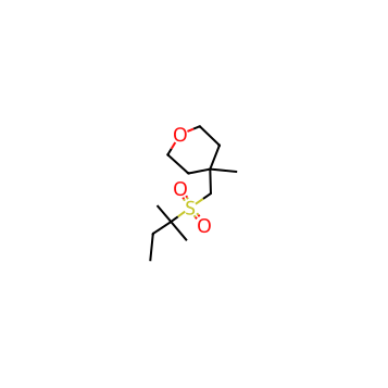 CCC(C)(C)S(=O)(=O)CC1(C)CCOCC1